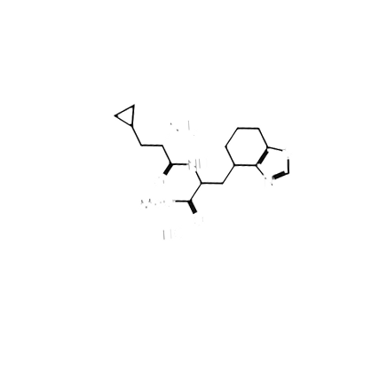 COC(=O)C(CC1CCCc2scnc21)NC(=O)[C@@H](N)CC1CC1.Cl